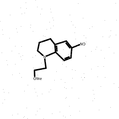 COCCN1CCCc2cc(N=O)ccc21